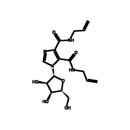 C=CCNC(=O)c1ncn([C@@H]2O[C@H](CO)[C@@H](O)[C@H]2O)c1C(=O)NCC=C